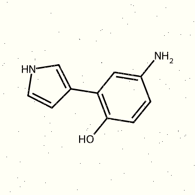 Nc1ccc(O)c(-c2cc[nH]c2)c1